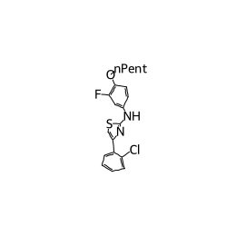 CCCCCOc1ccc(Nc2nc(-c3ccccc3Cl)cs2)cc1F